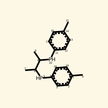 Cc1ccc(PC(C)C(C)Pc2ccc(C)cc2)cc1